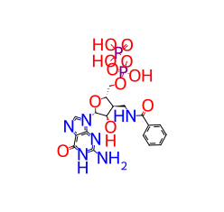 Nc1nc2c(ncn2[C@@H]2O[C@H](COP(=O)(O)OP(=O)(O)O)[C@@H](CNC(=O)c3ccccc3)[C@H]2O)c(=O)[nH]1